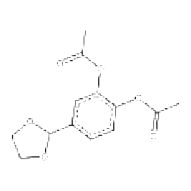 CC(=O)Oc1ccc(C2OCCO2)cc1OC(C)=O